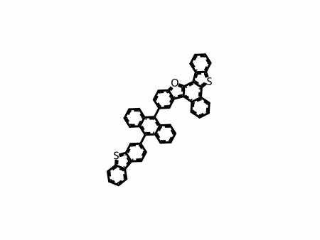 c1ccc2c(c1)sc1cc(-c3c4ccccc4c(-c4ccc5oc6c(c5c4)c4ccccc4c4sc5ccccc5c64)c4ccccc34)ccc12